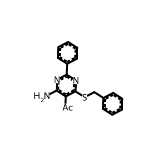 CC(=O)c1c(N)nc(-c2ccccc2)nc1SCc1ccccc1